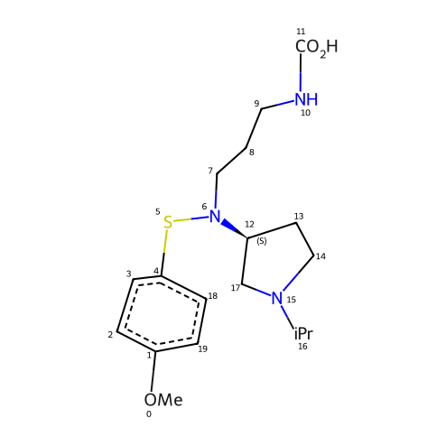 COc1ccc(SN(CCCNC(=O)O)[C@H]2CCN(C(C)C)C2)cc1